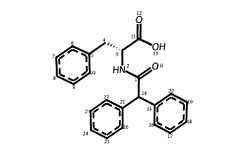 O=C(N[C@H](Cc1ccccc1)C(=O)O)C(c1ccccc1)c1ccccc1